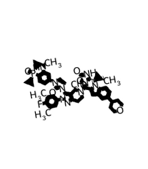 CNc1cc(-n2ccn(-c3c4c(nn3-c3cc(C)c(F)c(C)c3)CCN(C(=O)c3cc5cc(C6CCOCC6)ccc5n3[C@@]3(c5noc(=O)[nH]5)C[C@@H]3C)[C@H]4C)c2=O)ccc1P(=O)(C1CC1)C1CC1